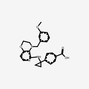 COc1cccc(CN2CCOc3ccnc(NC4(c5ccc(C(=O)O)cc5)CC4)c32)c1